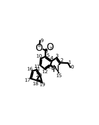 CCc1cc2c(C(=O)OC)cccc2n1C.c1cc2cc-2c1